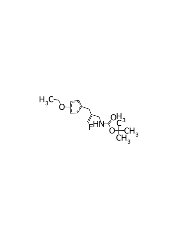 CCOc1ccc(CC(=CF)CNC(=O)OC(C)(C)C)cc1